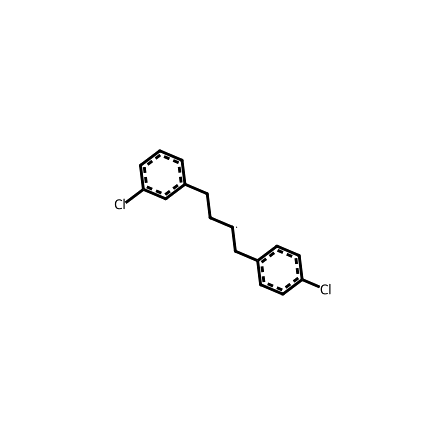 Clc1ccc(C[CH]CCc2cccc(Cl)c2)cc1